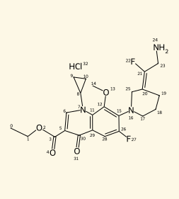 CCOC(=O)c1cn(C2CC2)c2c(OC)c(N3CCCC(=C(F)CN)C3)c(F)cc2c1=O.Cl